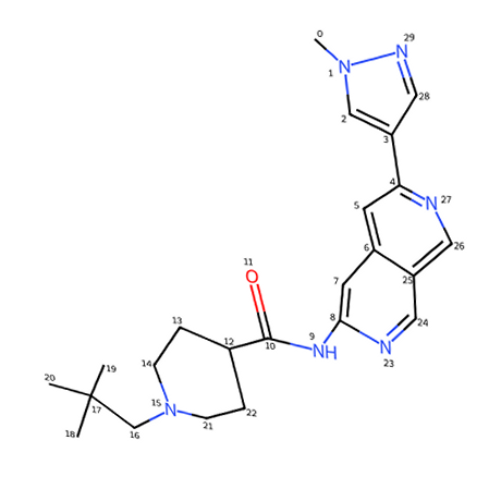 Cn1cc(-c2cc3cc(NC(=O)C4CCN(CC(C)(C)C)CC4)ncc3cn2)cn1